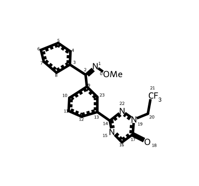 CON=C(c1ccccc1)c1cccc(-c2ncc(=O)n(CC(F)(F)F)n2)c1